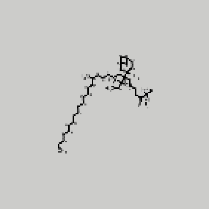 C=C(CCCCC(CCCCCC(C)CCCCCCCCCCCCCCC)(C(C)(C)CC)C1(C)CCC2CC(C2)C1)C(F)(F)F